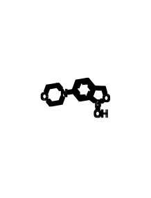 OB1OCc2ccc(N3CCOCC3)cc21